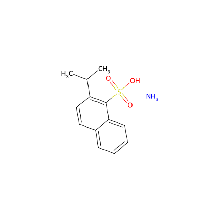 CC(C)c1ccc2ccccc2c1S(=O)(=O)O.N